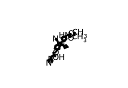 CC(C)OC(=O)Nc1ccc(-c2c(C#N)c3ccc(OCC(O)Cn4ccnc4)cc3n2C2CCC2)cc1